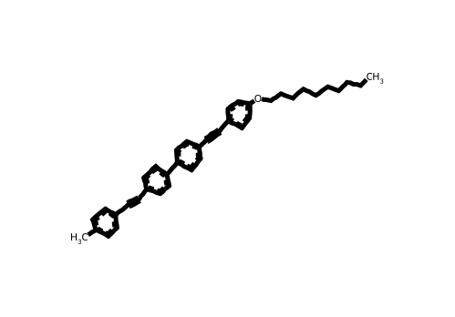 CCCCCCCCCCOc1ccc(C#Cc2ccc(-c3ccc(C#Cc4ccc(C)cc4)cc3)cc2)cc1